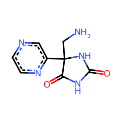 NCC1(c2cnccn2)NC(=O)NC1=O